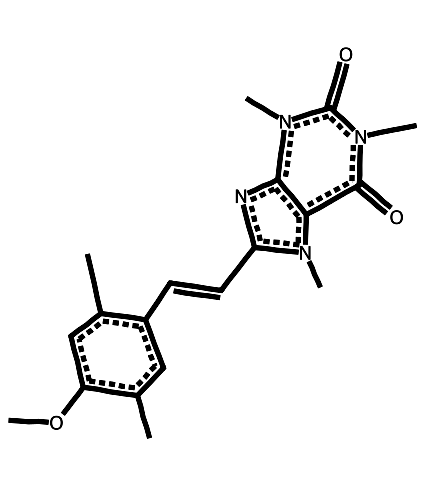 COc1cc(C)c(C=Cc2nc3c(c(=O)n(C)c(=O)n3C)n2C)cc1C